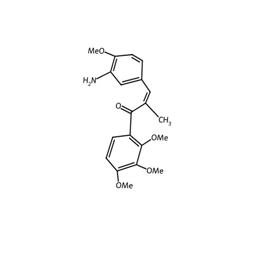 COc1ccc(C=C(C)C(=O)c2ccc(OC)c(OC)c2OC)cc1N